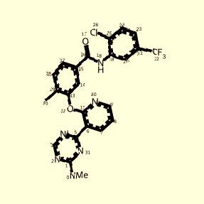 CNc1ncnc(-c2cccnc2Oc2cc(C(=O)Nc3cc(C(F)(F)F)ccc3Cl)ccc2C)n1